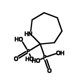 O=P(O)(O)C1(P(=O)(O)O)CCCCCN1